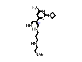 CNCCNCCCN/C=C(\C=N)c1cc(C(F)(F)F)nc(N2CCC2)n1